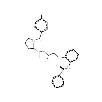 O=C(Nc1ccccc1OCC(O)CNC1CCCN1Cc1ccc(Cl)cc1)c1ccccc1